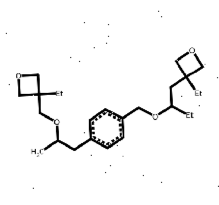 CCC(CC1(CC)COC1)OCc1ccc(CC(C)OCC2(CC)COC2)cc1